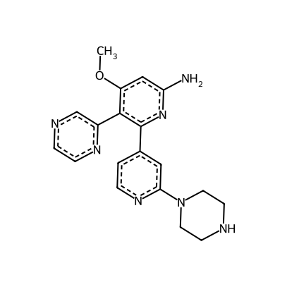 COc1cc(N)nc(-c2ccnc(N3CCNCC3)c2)c1-c1cnccn1